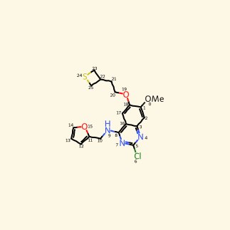 COc1cc2nc(Cl)nc(NCc3ccco3)c2cc1OCCC1CSC1